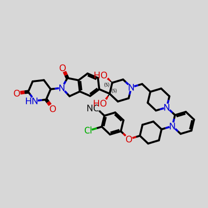 N#Cc1ccc(OC2CCC(N3CC=CC=C3N3CCC(CN4CC[C@](O)(c5ccc6c(c5)CN(C5CCC(=O)NC5=O)C6=O)[C@@H](O)C4)CC3)CC2)cc1Cl